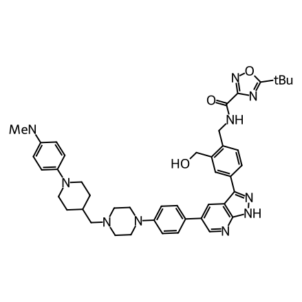 CNc1ccc(N2CCC(CN3CCN(c4ccc(-c5cnc6[nH]nc(-c7ccc(CNC(=O)c8noc(C(C)(C)C)n8)c(CO)c7)c6c5)cc4)CC3)CC2)cc1